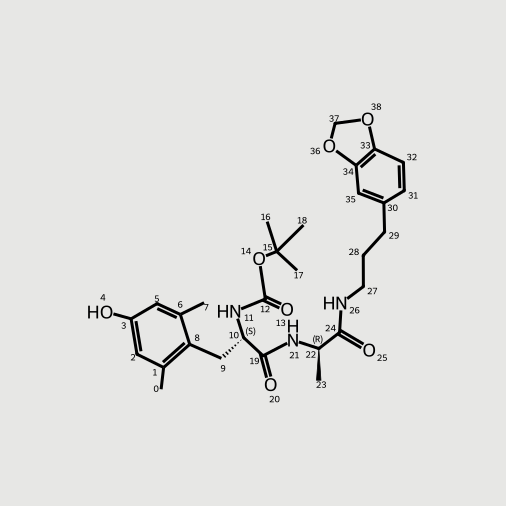 Cc1cc(O)cc(C)c1C[C@H](NC(=O)OC(C)(C)C)C(=O)N[C@H](C)C(=O)NCCCc1ccc2c(c1)OCO2